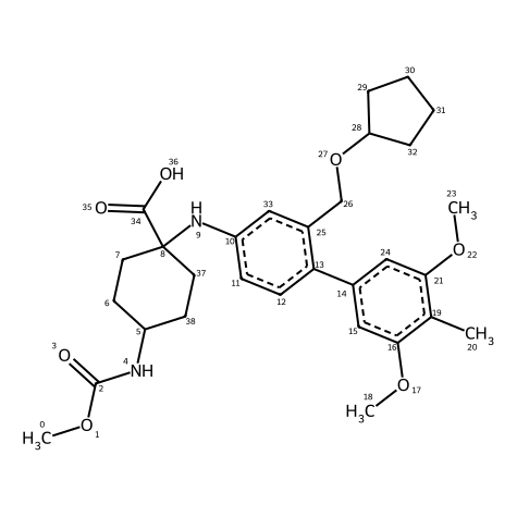 COC(=O)NC1CCC(Nc2ccc(-c3cc(OC)c(C)c(OC)c3)c(COC3CCCC3)c2)(C(=O)O)CC1